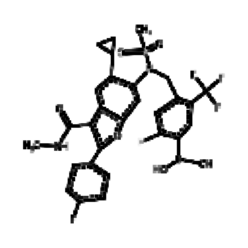 CNC(=O)c1c(-c2ccc(F)cc2)oc2cc(N(Cc3cc(F)c(B(O)O)cc3C(F)(F)F)S(C)(=O)=O)c(C3CC3)cc12